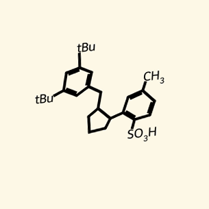 Cc1ccc(S(=O)(=O)O)c(C2CCCC2Cc2cc(C(C)(C)C)cc(C(C)(C)C)c2)c1